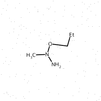 CCCON(C)N